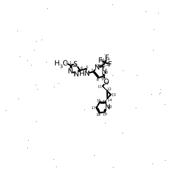 Cc1nnc(CNc2cc(OC[C@H]3C[C@@H]3c3ccccn3)nc(C(F)(F)F)n2)s1